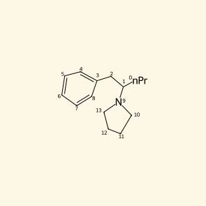 CCCC(Cc1ccccc1)N1CCCC1